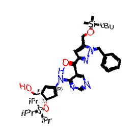 CC(C)[Si](O[C@H]1C[C@H](Nc2ncncc2C(=O)c2cc(CO[Si](C)(C)C(C)(C)C)n(Cc3ccccc3)n2)C[C@@H]1CO)(C(C)C)C(C)C